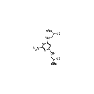 CCCCC(CC)CNc1nc(N)nc(NCC(CC)CCCC)n1